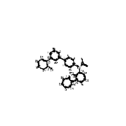 C=C(C)N(c1ccc(-c2cccc(C3=CC=CCC3C)c2)cc1)c1cccc2c1sc1ccccc12